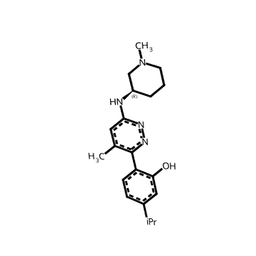 Cc1cc(N[C@@H]2CCCN(C)C2)nnc1-c1ccc(C(C)C)cc1O